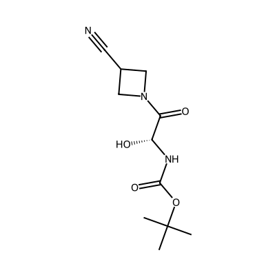 CC(C)(C)OC(=O)N[C@H](O)C(=O)N1CC(C#N)C1